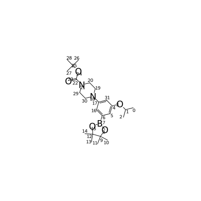 CC(C)Oc1cc(B2OC(C)(C)C(C)(C)O2)cc(N2CCN(C(=O)OC(C)(C)C)CC2)c1